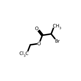 CC(Br)C(=O)OCC(Cl)(Cl)Cl